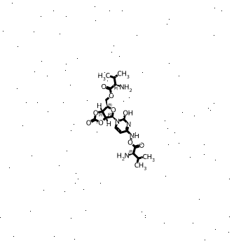 CC(C)[C@@H](N)C(=O)OC[C@H]1O[C@@H](N2C=CC(NOC(=O)[C@H](N)C(C)C)=NC2O)[C@@H]2OC(=O)O[C@@H]21